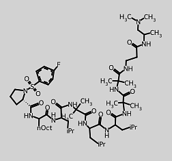 CCCCCCCCC(NC(=O)[C@@H]1CCCN1S(=O)(=O)c1ccc(F)cc1)C(=O)NC(CC(C)C)C(=O)NC(C)(C)C(=O)NC(CC(C)C)C(=O)NC(CC(C)C)C(=O)NC(C)(C)C(=O)NC(C)(C)C(=O)NCCC(=O)NC(C)CN(C)C